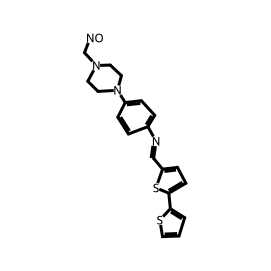 O=NCN1CCN(c2ccc(/N=C/c3ccc(-c4cccs4)s3)cc2)CC1